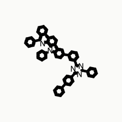 c1ccc(-c2ccc(-c3nc(-c4ccccc4)nc(-c4cccc(-c5ccc6c(c5)c5ccc7c8ccccc8c(-c8ccccc8)nc7c5n6-c5ccccc5)c4)n3)cc2)cc1